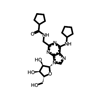 O=C(NCc1nc(NC2CCCC2)c2ncn([C@@H]3O[C@H](CO)[C@@H](O)[C@H]3O)c2n1)C1CCCC1